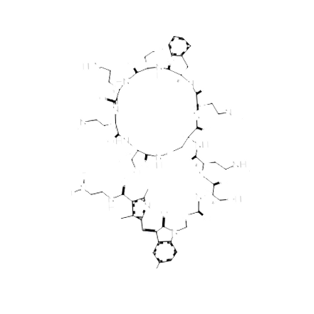 CCN(CC)CCNC(=O)c1c(C)[nH]c(/C=C2\C(=O)N(COC(=O)N[C@H](C(=O)N[C@H](CCN)C(=O)N[C@H]3CCNC(=O)[C@@H]([C@@H](C)O)NC(=O)[C@@H](CCN)NC(=O)[C@@H](CCN)NC(=O)[C@@H](CC(C)C)NC(=O)[C@@H](Cc4ccccc4)NC(=O)[C@@H](CCN)NC3=O)[C@@H](C)O)c3ccc(F)cc32)c1C